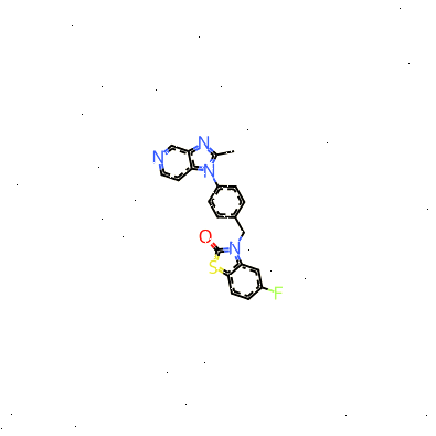 Cc1nc2cnccc2n1-c1ccc(Cn2c(=O)sc3ccc(F)cc32)cc1